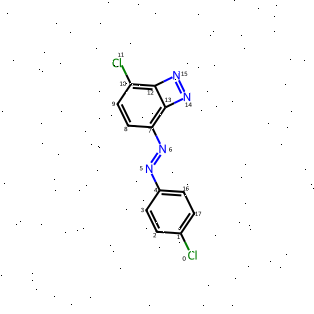 Clc1ccc(N=Nc2ccc(Cl)c3c2N=N3)cc1